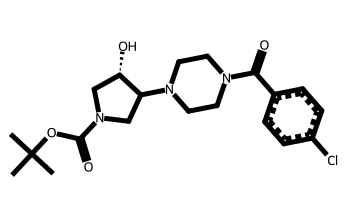 CC(C)(C)OC(=O)N1CC(N2CCN(C(=O)c3ccc(Cl)cc3)CC2)[C@@H](O)C1